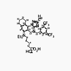 CCN(CCCCC(=O)O)c1cc2c(cc1CN(Cc1cc(C(F)(F)F)cc(C(F)(F)F)c1)c1nnn(C)n1)CCCC2.Cl